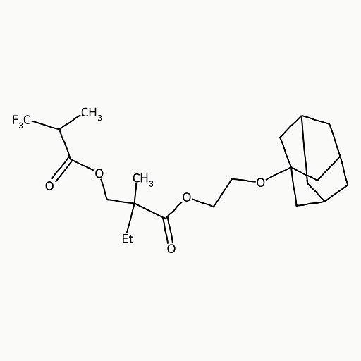 CCC(C)(COC(=O)C(C)C(F)(F)F)C(=O)OCCOC12CC3CC(CC(C3)C1)C2